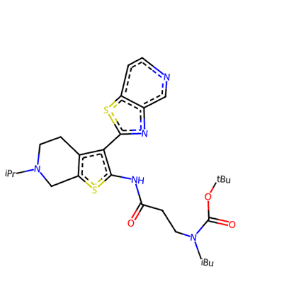 CCC(C)N(CCC(=O)Nc1sc2c(c1-c1nc3cnccc3s1)CCN(C(C)C)C2)C(=O)OC(C)(C)C